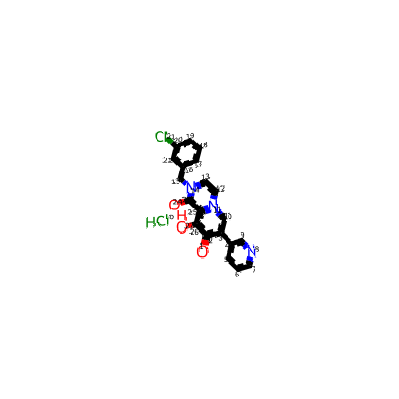 Cl.O=c1c(-c2cccnc2)cn2ccn(Cc3cccc(Cl)c3)c(=O)c2c1O